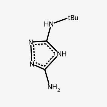 CC(C)(C)Nc1nnc(N)[nH]1